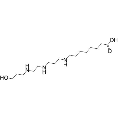 O=C(O)CCCCCCCNCCCNCCNCCCO